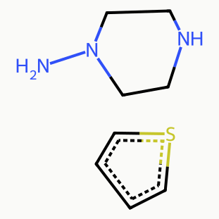 NN1CCNCC1.c1ccsc1